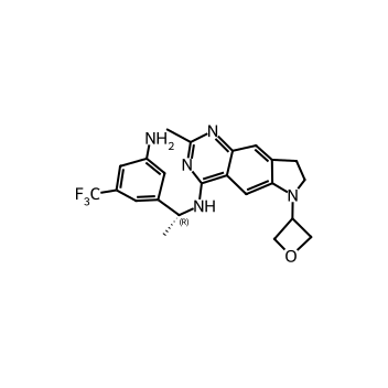 Cc1nc(N[C@H](C)c2cc(N)cc(C(F)(F)F)c2)c2cc3c(cc2n1)CCN3C1COC1